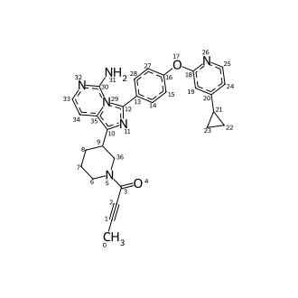 CC#CC(=O)N1CCCC(c2nc(-c3ccc(Oc4cc(C5CC5)ccn4)cc3)n3c(N)nccc23)C1